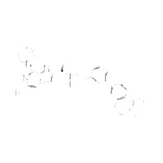 CC(=O)N1c2ccc(-c3cccc(CCNC(=O)c4nc5c(N6CCOCC6)nc(Br)cn5c4C)c3)cc2CC[C@@H]1C